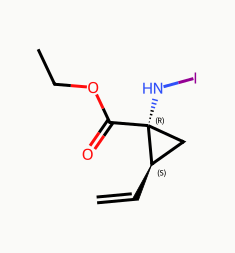 C=C[C@@H]1C[C@]1(NI)C(=O)OCC